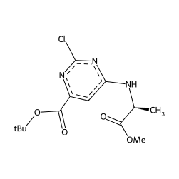 COC(=O)[C@H](C)Nc1cc(C(=O)OC(C)(C)C)nc(Cl)n1